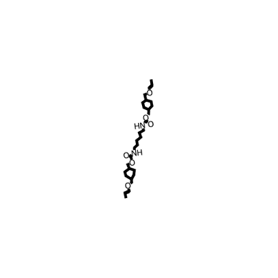 C/C=C/OCC1CCC(COC(=O)NCCCCCCNC(=O)OCC2CCC(CO/C=C/C)CC2)CC1